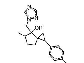 CC1CCC2(CC2c2ccc(Cl)cc2)C1(O)Cn1cncn1